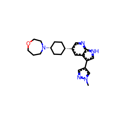 Cn1cc(-c2c[nH]c3ncc([C@H]4CC[C@@H](N5CCCOCC5)CC4)cc23)cn1